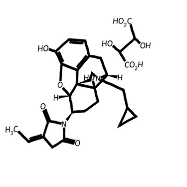 CC=C1CC(=O)N([C@@H]2CCC3(O)[C@H]4Cc5ccc(O)c6c5[C@@]3(CCN4CC3CC3)[C@H]2O6)C1=O.O=C(O)C(O)C(O)C(=O)O